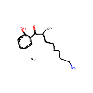 NCCCCCCC(C(=O)[O-])C(=O)c1ccccc1O.[Na+]